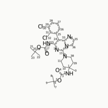 CC1(NC(=O)OC(C)(C)C)CCN(c2nc(NC(=O)OC(C)(C)C)c(-c3cccc(Cl)c3Cl)c3nccn23)CC1